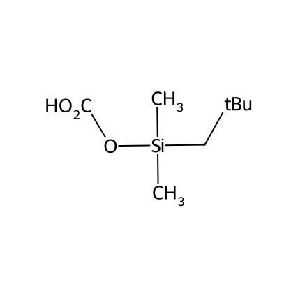 CC(C)(C)C[Si](C)(C)OC(=O)O